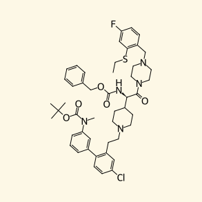 CCSc1cc(F)ccc1CN1CCN(C(=O)[C@H](NC(=O)OCc2ccccc2)C2CCN(CCc3cc(Cl)ccc3-c3cccc(N(C)C(=O)OC(C)(C)C)c3)CC2)CC1